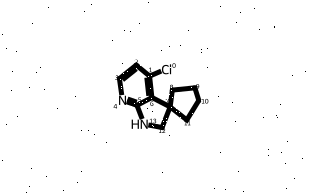 Clc1ccnc2c1C1(CCCC1)CN2